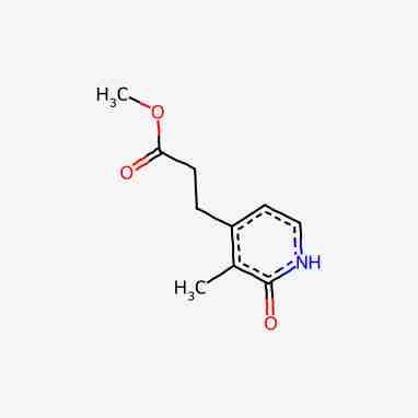 COC(=O)CCc1cc[nH]c(=O)c1C